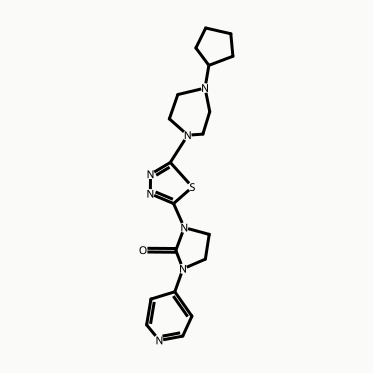 O=C1N(c2ccncc2)CCN1c1nnc(N2CCN(C3CCCC3)CC2)s1